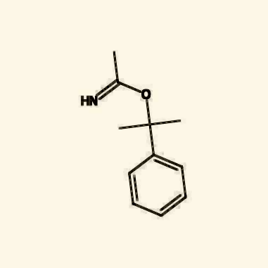 CC(=N)OC(C)(C)c1ccccc1